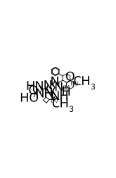 C[C@@H]1CC[C@H]2Cn3c(nc4nc(C(=N)NC(=O)O)nc(N[C@H](C)C5CCC5)c43)C3C2=C1OCC3c1ccccc1